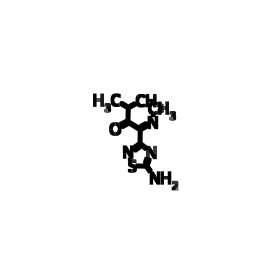 C/N=C(\C(=O)C(C)C)c1nsc(N)n1